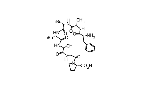 CC[C@H](C)[C@H](NC(=O)[C@H](C)NC(=O)[C@@H](N)Cc1ccccc1)C(=O)N[C@H](C(=O)N[C@@H](C)C(=O)NCC(=O)N1CCC[C@H]1C(=O)O)[C@@H](C)CC